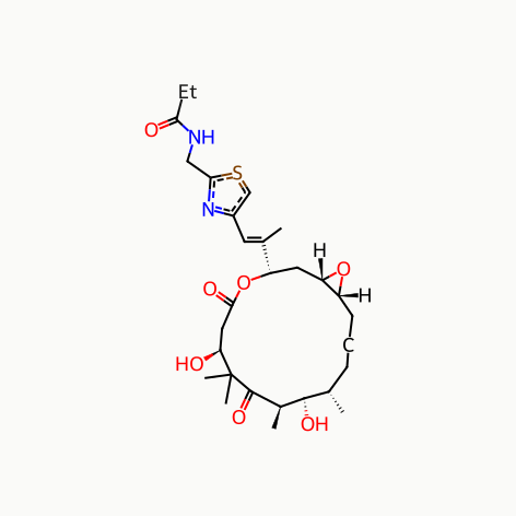 CCC(=O)NCc1nc(C=C(C)[C@@H]2C[C@@H]3O[C@@H]3CCC[C@H](C)[C@H](O)[C@@H](C)C(=O)C(C)(C)[C@@H](O)CC(=O)O2)cs1